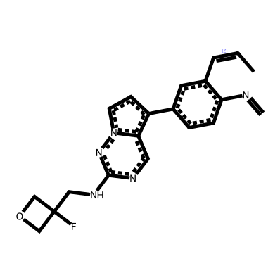 C=Nc1ccc(-c2ccn3nc(NCC4(F)COC4)ncc23)cc1/C=C\C